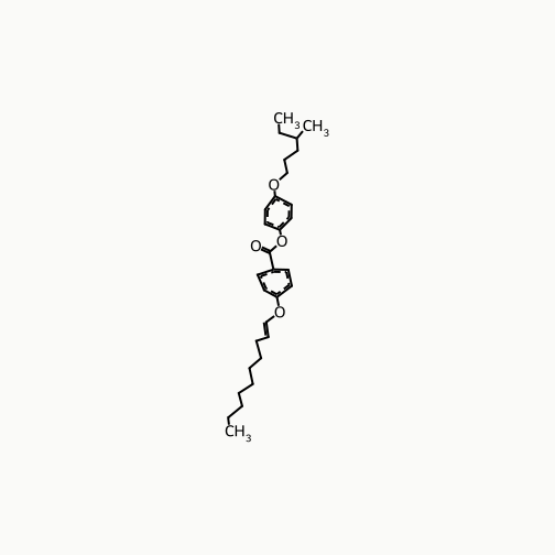 CCCCCCCCC=COc1ccc(C(=O)Oc2ccc(OCCCC(C)CC)cc2)cc1